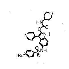 CC(C)(C)c1ccc(S(=O)(=O)Nc2ccc3[nH]c(OC(=O)NC4CCOCC4)c(-c4ccncc4)c3c2)cc1